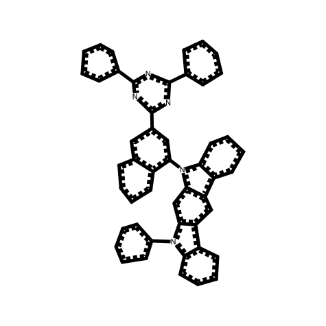 c1ccc(-c2nc(-c3ccccc3)nc(-c3cc(-n4c5ccccc5c5cc6c7ccccc7n(-c7ccccc7)c6cc54)c4ccccc4c3)n2)cc1